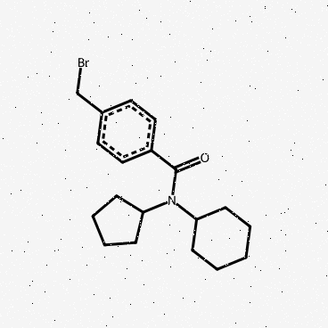 O=C(c1ccc(CBr)cc1)N(C1CCCCC1)C1CCCC1